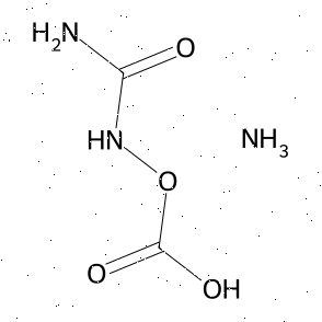 N.NC(=O)NOC(=O)O